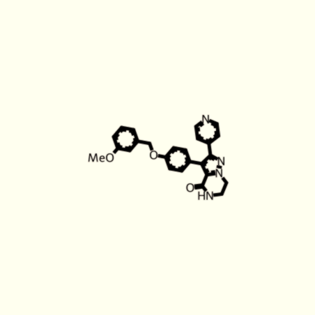 COc1cccc(COc2ccc(-c3c(-c4ccncc4)nn4c3C(=O)NCC4)cc2)c1